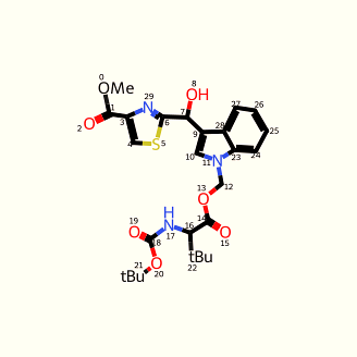 COC(=O)c1csc(C(O)c2cn(COC(=O)C(NC(=O)OC(C)(C)C)C(C)(C)C)c3ccccc23)n1